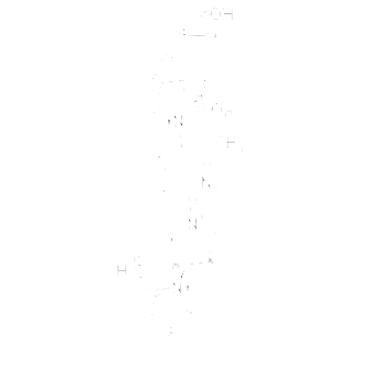 Cc1nc(N2CC[C@@H](N3CCC[C@@H]3C)C2)ccc1N1CCC2(CCC(O)CC2)C1=O